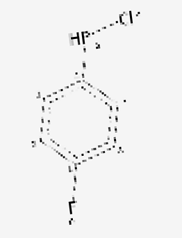 Fc1ccc(PCl)cc1